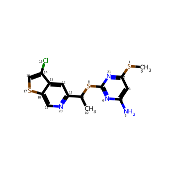 CSc1cc(N)nc(SC(C)c2cc3c(Cl)csc3cn2)n1